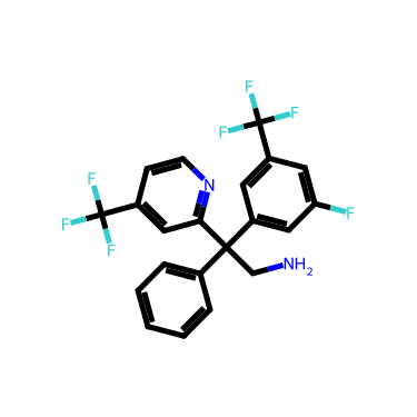 NCC(c1ccccc1)(c1cc(F)cc(C(F)(F)F)c1)c1cc(C(F)(F)F)ccn1